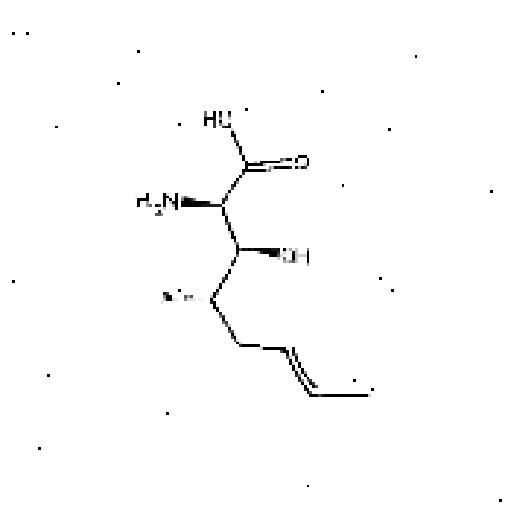 CC=CC[C@H](C)[C@H](O)[C@@H](N)C(=O)O